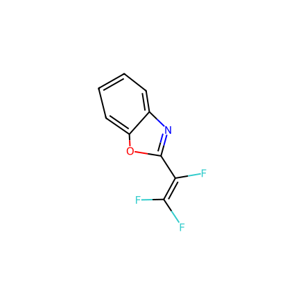 FC(F)=C(F)c1nc2ccccc2o1